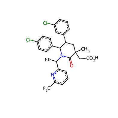 CCC(c1cccc(C(F)(F)F)n1)N1C(=O)C(C)(CC(=O)O)CC(c2cccc(Cl)c2)C1c1ccc(Cl)cc1